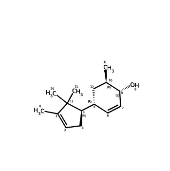 CC1=CC[C@H]([C@H]2C=C[C@@H](O)[C@H](C)C2)C1(C)C